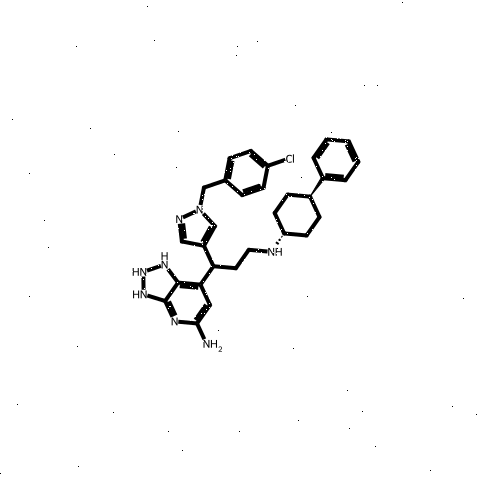 Nc1cc(C(CCN[C@H]2CC[C@H](c3ccccc3)CC2)c2cnn(Cc3ccc(Cl)cc3)c2)c2c(n1)NNN2